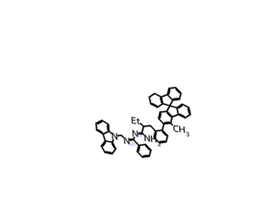 CCC(Cc1ccccc1-c1ccc2c(c1C)-c1ccccc1C21C2=C(CCC=C2)c2ccccc21)/C(N)=N/C(=N\Cn1c2ccccc2c2ccccc21)c1ccccc1